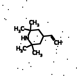 [CH]=CC1CC(C)(C)NC(C)(C)C1